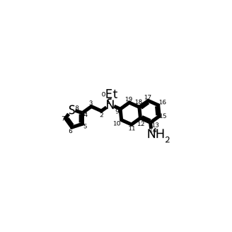 CCN(CCc1cccs1)C1CCc2c(N)cccc2C1